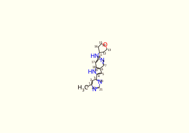 Cc1cc(-c2cc3cnc(NC4CCOCC4)cc3[nH]2)ncn1